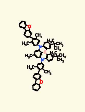 Cc1cc2c3c(c1)N(c1cc(C)c(-c4ccc5c(c4)oc4ccccc45)c(C)c1)c1ccc(C(C)(C)C)cc1B3c1cc(C(C)(C)C)ccc1N2c1cc(C)c(-c2ccc3c(c2)oc2ccccc23)c(C)c1